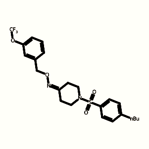 CCCCc1ccc(S(=O)(=O)N2CCC(=NOCc3cccc(OC(F)(F)F)c3)CC2)cc1